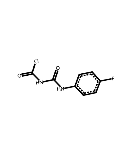 O=C(Cl)NC(=O)Nc1ccc(F)cc1